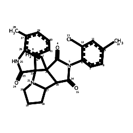 C=CC12C(=O)N(c3ccc(C)cc3Cl)C(=O)C1C1CCCN1C21C(=O)Nc2c(C)cccc21